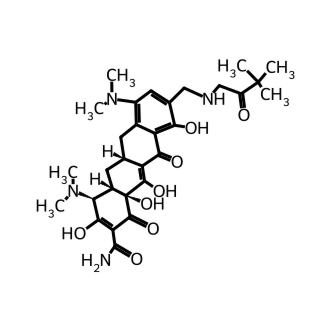 CN(C)c1cc(CNCC(=O)C(C)(C)C)c(O)c2c1C[C@H]1C[C@H]3[C@H](N(C)C)C(O)=C(C(N)=O)C(=O)[C@@]3(O)C(O)=C1C2=O